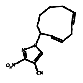 N#Cc1cn(C2/C=C/C/C=C\CCCC2)nc1[N+](=O)[O-]